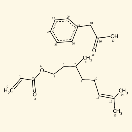 C=CC(=O)OCCC(C)CCC=C(C)C.O=C(O)Cc1ccccc1